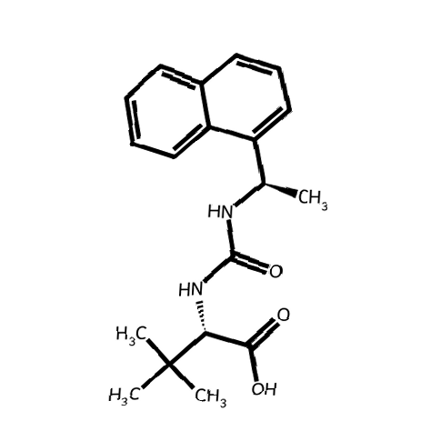 C[C@@H](NC(=O)N[C@H](C(=O)O)C(C)(C)C)c1cccc2ccccc12